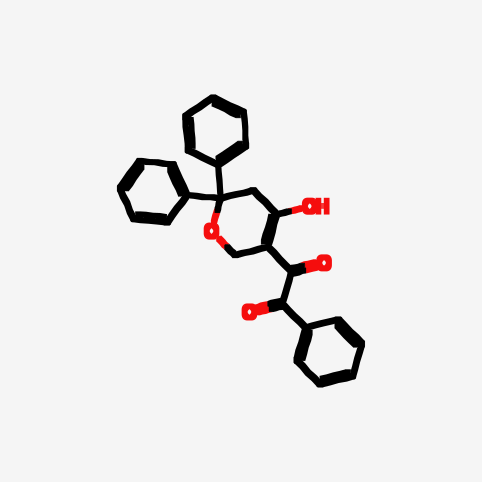 O=C(C(=O)c1ccccc1)C1=C(O)CC(c2ccccc2)(c2ccccc2)OC1